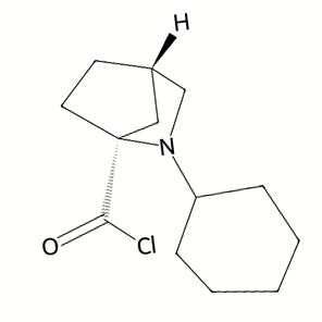 O=C(Cl)[C@@]12CC[C@H](CN1C1CCCCC1)C2